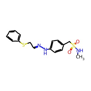 CNS(=O)(=O)Cc1ccc(NN=CCSc2ccccc2)cc1